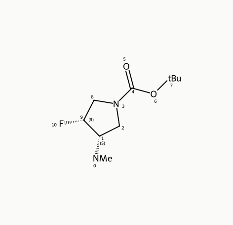 CN[C@H]1CN(C(=O)OC(C)(C)C)C[C@H]1F